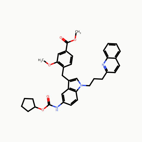 COC(=O)c1ccc(Cc2cn(CCCc3ccc4ccccc4n3)c3ccc(NC(=O)OC4CCCC4)cc23)c(OC)c1